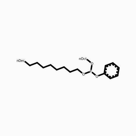 CCCCCCCCCCCCCCCCCCOP(OCCCCCCCC)Oc1ccccc1